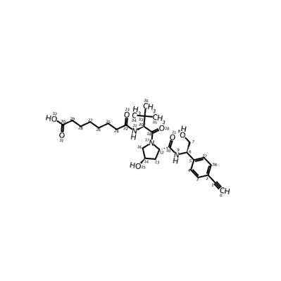 C#Cc1ccc([C@H](CO)NC(=O)[C@@H]2C[C@@H](O)CN2C(=O)[C@@H](NC(=O)CCCCCCC(=O)O)C(C)(C)C)cc1